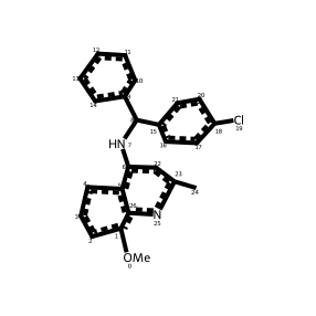 COc1cccc2c(NC(c3ccccc3)c3ccc(Cl)cc3)cc(C)nc12